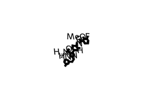 COc1c(F)cccc1C(=O)NCc1ccc(-c2nn3c(c2C(N)=O)Nc2ccc(C)cc2CC3)cc1C